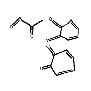 CC(=O)C=O.O=C1C=CC=CC1=O.O=C1C=CC=CC1=O